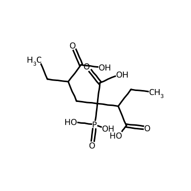 CCC(CC(C(=O)O)(C(CC)C(=O)O)P(=O)(O)O)C(=O)O